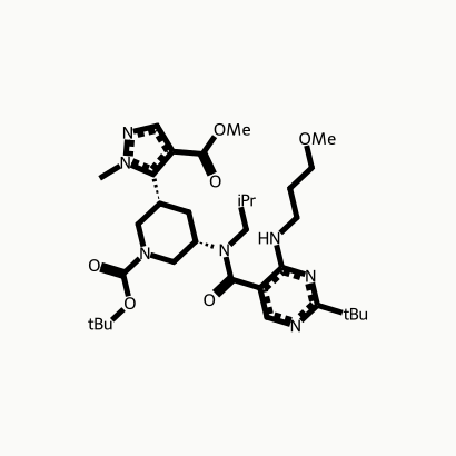 COCCCNc1nc(C(C)(C)C)ncc1C(=O)N(CC(C)C)[C@H]1C[C@@H](c2c(C(=O)OC)cnn2C)CN(C(=O)OC(C)(C)C)C1